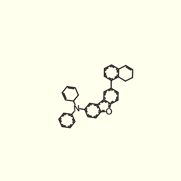 C1=CCC(N(c2ccccc2)c2ccc3oc4ccc(-c5cccc6c5CCC=C6)cc4c3c2)C=C1